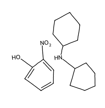 C1CCC(NC2CCCCC2)CC1.O=[N+]([O-])c1ccccc1O